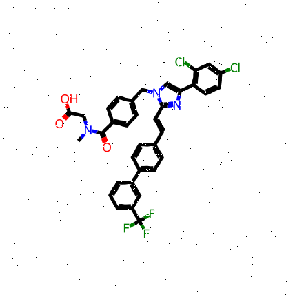 CN(CC(=O)O)C(=O)c1ccc(Cn2cc(-c3ccc(Cl)cc3Cl)nc2C=Cc2ccc(-c3cccc(C(F)(F)F)c3)cc2)cc1